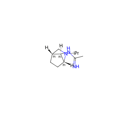 CC(=N)N[C@@H]1[C@@H]2CC[C@H]1N(C(C)C)C2